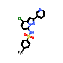 O=S(=O)(Nc1ccc(Cl)c2cc(-c3cccnc3)nn12)c1ccc(C(F)(F)F)cc1